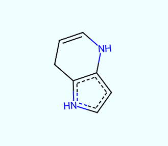 C1=CNc2cc[nH]c2C1